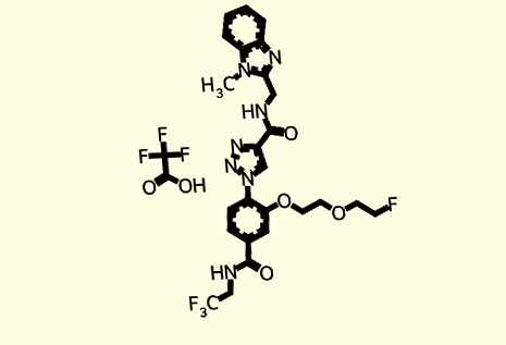 Cn1c(CNC(=O)c2cn(-c3ccc(C(=O)NCC(F)(F)F)cc3OCCOCCF)nn2)nc2ccccc21.O=C(O)C(F)(F)F